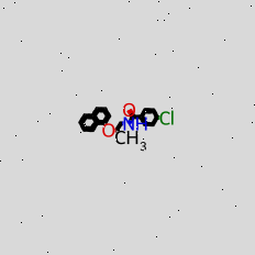 CC(CNC(=O)C1=CCC(Cl)C=C1)Oc1cccc2ccccc12